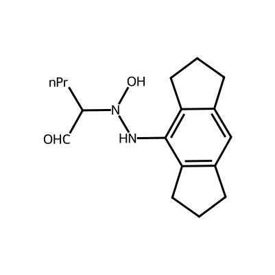 CCCC(C=O)N(O)Nc1c2c(cc3c1CCC3)CCC2